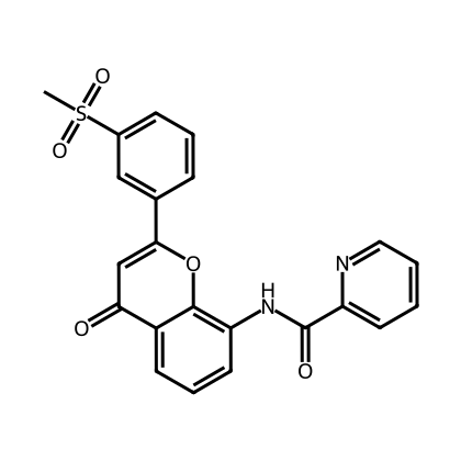 CS(=O)(=O)c1cccc(-c2cc(=O)c3cccc(NC(=O)c4ccccn4)c3o2)c1